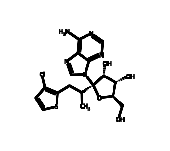 CC(Cc1sccc1Cl)[C@@]1(n2cnc3c(N)ncnc32)O[C@H](CO)[C@@H](O)[C@H]1O